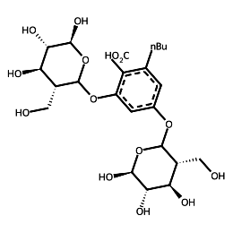 CCCCc1cc(OC2O[C@H](O)[C@@H](O)[C@H](O)[C@H]2CO)cc(OC2O[C@H](O)[C@@H](O)[C@H](O)[C@H]2CO)c1C(=O)O